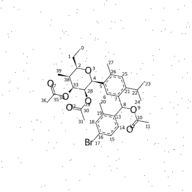 CC[C@H]1O[C@@H](c2cc(C(OC(C)=O)c3ccc(Br)cc3C)c(C(C)C)cc2C)[C@@H](OC(C)=O)[C@@H](OC(C)=O)[C@H]1C